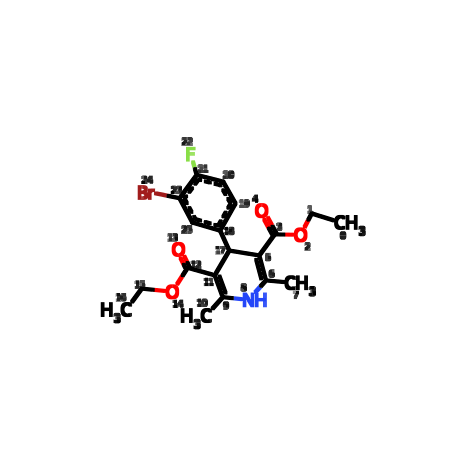 CCOC(=O)C1=C(C)NC(C)=C(C(=O)OCC)C1c1ccc(F)c(Br)c1